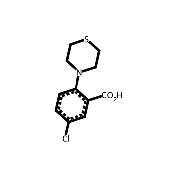 O=C(O)c1cc(Cl)ccc1N1CCSCC1